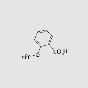 [CH]CCOc1ccccc1C(=O)O